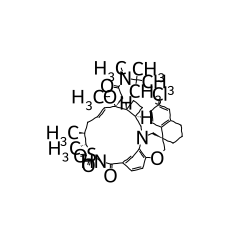 CO[C@@]1(CC(=O)N(C)C(C)(C)C)/C=C/C[C@H](C)[C@@H](C)S(=O)(=O)NC(=O)c2ccc3c(c2)N(C[C@@H]2CC[C@H]21)C[C@@]1(CCCc2cc(Cl)ccc21)CO3